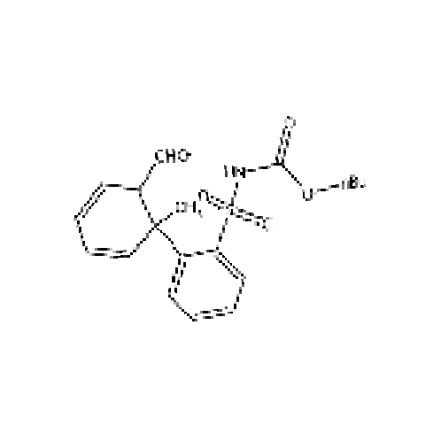 CCCCOC(=O)NS(=O)(=O)c1ccccc1C1(C)C=CC=CC1[C]=O